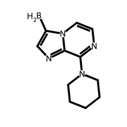 Bc1cnc2c(N3CCCCC3)nccn12